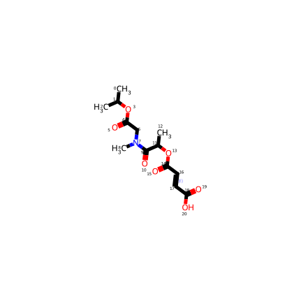 CC(C)OC(=O)CN(C)C(=O)C(C)OC(=O)/C=C/C(=O)O